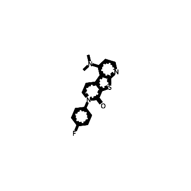 CN(C)c1ccnc2sc3c(=O)n(-c4ccc(F)cc4)ccc3c12